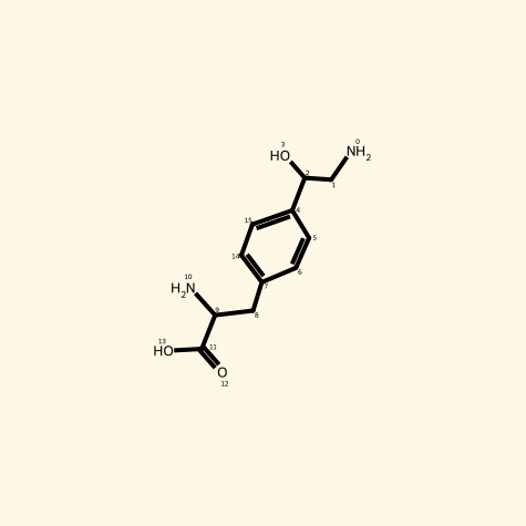 NCC(O)c1ccc(CC(N)C(=O)O)cc1